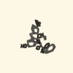 Cc1c(Cc2ccc(Br)cc2)c2cc(O)ccc2n1CC(=O)c1nc2ccccc2o1